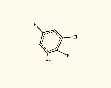 Fc1cc(Cl)c(F)c(C(F)(F)F)c1